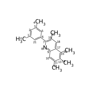 Cc1cc(C)cc(-c2nc3cc(C)c(C)c(C)c3cc2C)c1